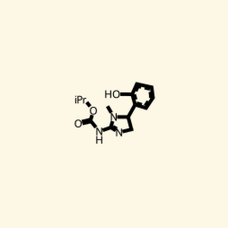 CC(C)OC(=O)NC1=NCC(c2ccccc2O)N1C